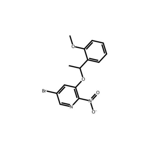 COc1ccccc1C(C)Oc1cc(Br)cnc1[N+](=O)[O-]